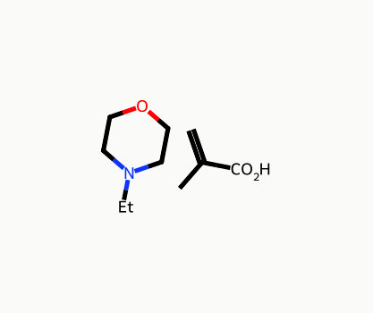 C=C(C)C(=O)O.CCN1CCOCC1